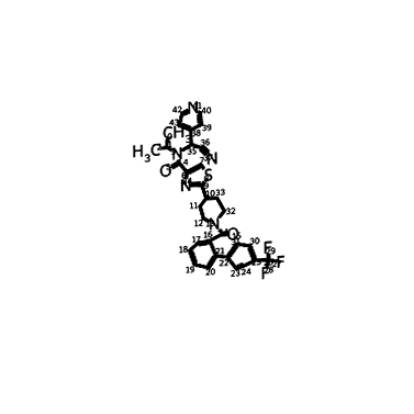 CC(C)N(C(=O)c1csc(C2CCN(C(=O)c3ccccc3-c3ccc(C(F)(F)F)cc3)CC2)n1)C(C#N)c1ccncc1